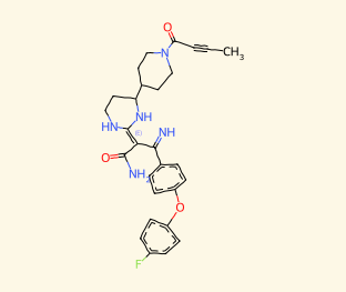 CC#CC(=O)N1CCC(C2CCN/C(=C(/C(=N)c3ccc(Oc4ccc(F)cc4)cc3)C(N)=O)N2)CC1